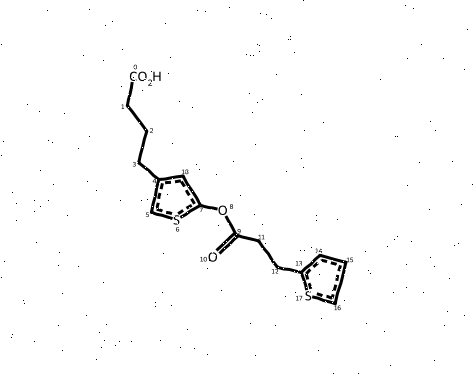 O=C(O)CCCc1csc(OC(=O)CCc2cccs2)c1